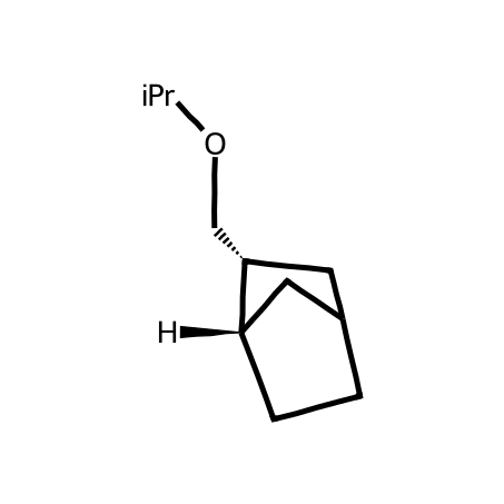 CC(C)OC[C@@H]1CC2CC[C@H]1C2